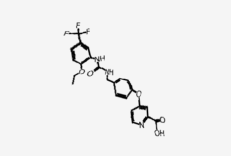 CCOc1ccc(C(F)(F)F)cc1NC(=O)NCc1ccc(Oc2ccnc(C(=O)O)c2)cc1